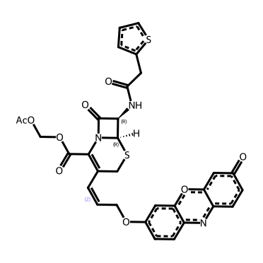 CC(=O)OCOC(=O)C1=C(/C=C\COc2ccc3nc4ccc(=O)cc-4oc3c2)CS[C@@H]2[C@H](NC(=O)Cc3cccs3)C(=O)N12